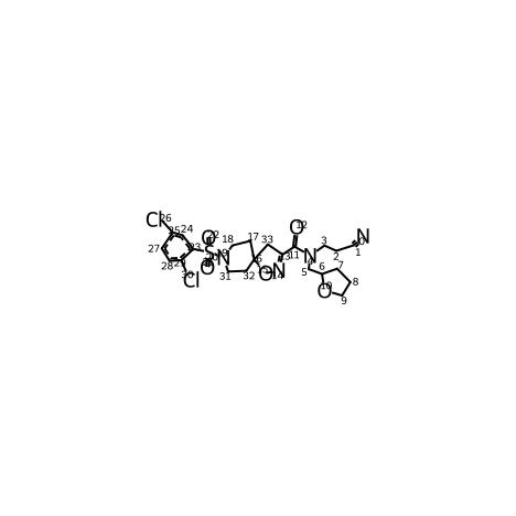 N#CCCN(CC1CCCO1)C(=O)C1=NOC2(CCN(S(=O)(=O)c3cc(Cl)ccc3Cl)CC2)C1